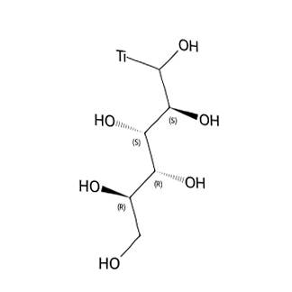 OC[C@@H](O)[C@@H](O)[C@H](O)[C@H](O)[CH](O)[Ti]